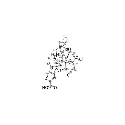 O=C(O)c1ccc2c(c1)nc1n2CC[C@H]2[C@@H]1[C@H](c1cccc(Cl)c1F)[C@]1(C(=O)Nc3cc(Cl)ccc31)N2CC1CC(F)(F)C1